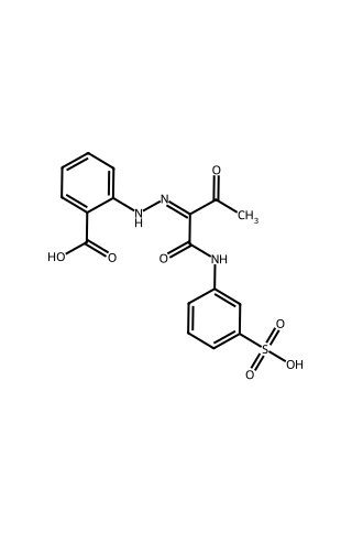 CC(=O)/C(=N/Nc1ccccc1C(=O)O)C(=O)Nc1cccc(S(=O)(=O)O)c1